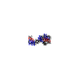 CC(C)(C)OC(=O)N1CCC[C@H]1c1nc(-c2ccc(-c3cnc4cc(-c5cnc([C@@H]6CCCN6C(=O)OC(C)(C)C)n5COCC[Si](C)(C)C)cnc4n3)cc2)c[nH]1